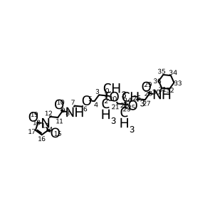 CC(C)(CCOCCNC(=O)CCN1C(=O)C=CC1=O)OCC(C)(C)OCCC(=O)NC1CCCCC1